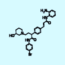 Nc1ccccc1NC(=O)/C=C/c1ccc(C(CCN2CCCC(O)C2)C(=O)Nc2ccc(Br)cc2)cc1